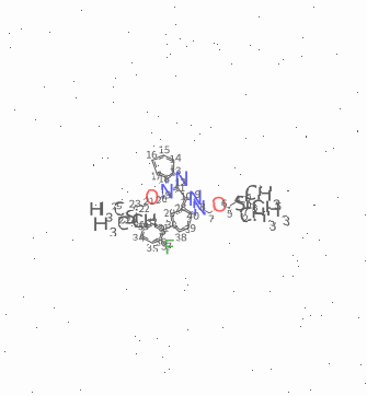 C[Si](C)(C)CCOCn1nc(-c2nc3ccccc3n2COCC[Si](C)(C)C)c2cc(-c3ccccc3F)ccc21